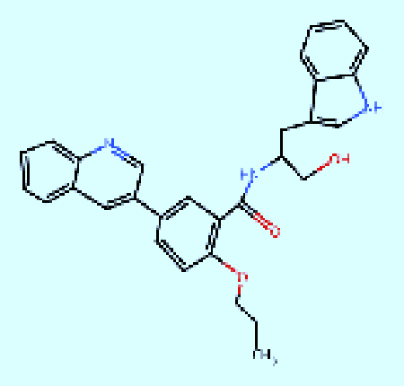 CCCOc1ccc(-c2cnc3ccccc3c2)cc1C(=O)NC(CO)Cc1c[nH]c2ccccc12